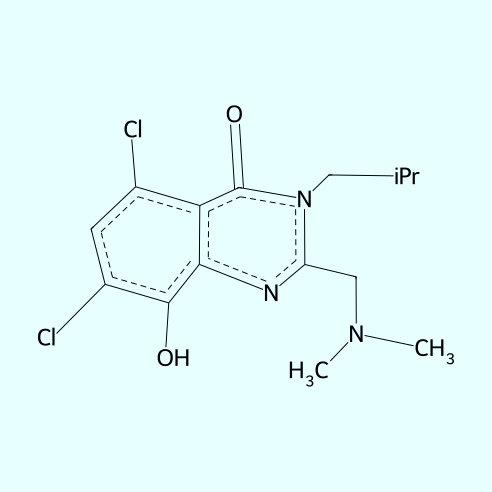 CC(C)Cn1c(CN(C)C)nc2c(O)c(Cl)cc(Cl)c2c1=O